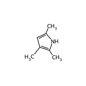 Cc1cc(C)c(C)[nH]1